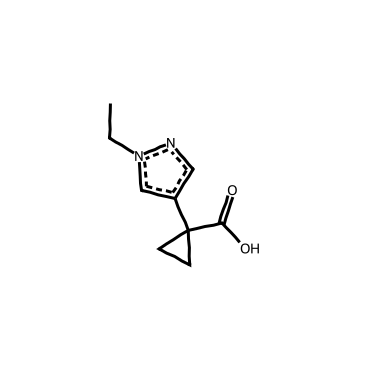 CCn1cc(C2(C(=O)O)CC2)cn1